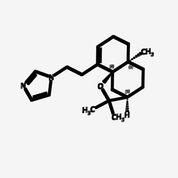 CC1(C)O[C@]23C[C@H]1CC[C@]2(C)CCC=C3CCn1ccnc1